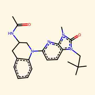 CC(=O)NC1Cc2ccccc2N(c2ccc3c(n2)n(C)c(=O)n3CC(C)(C)C)C1